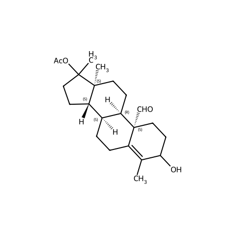 CC(=O)OC1(C)CC[C@H]2[C@@H]3CCC4=C(C)C(O)CC[C@]4(C=O)[C@@H]3CC[C@@]21C